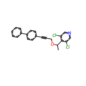 CC(OCC#Cc1ccc(-c2ccccc2)cc1)c1c(Cl)cncc1Cl